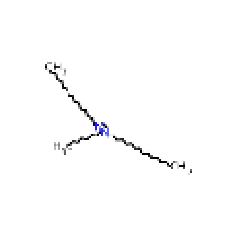 CCCCCCCCCCCCCCCCn1cc[n+](CCCCCCCCCCCCCCCC)c1CCCCCCC